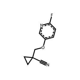 N#CC1(COc2ccc(F)nc2)CC1